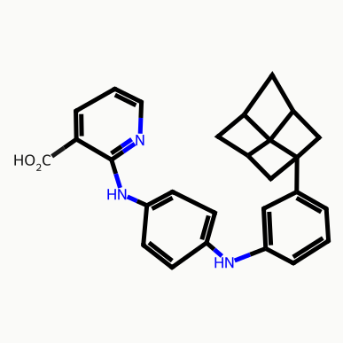 O=C(O)c1cccnc1Nc1ccc(Nc2cccc(C34CC5CC6CC(C3)C654)c2)cc1